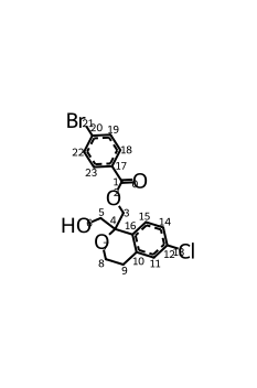 O=C(OCC1(CO)OCCc2cc(Cl)ccc21)c1ccc(Br)cc1